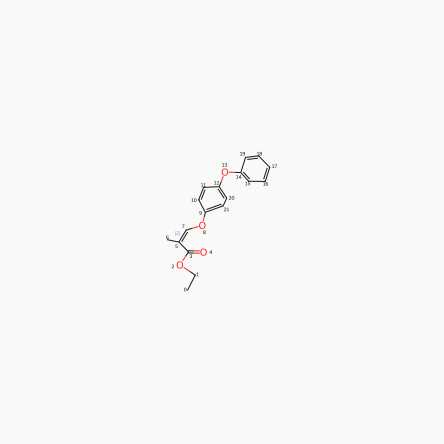 CCOC(=O)/C(C)=C\Oc1ccc(Oc2ccccc2)cc1